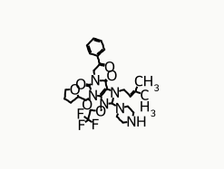 CC(C)=CCN1c2c(n(CC3CCCO3)c(=O)n(CC(=O)c3ccccc3)c2=O)N(OC(=O)C(F)(F)F)C1N1CCNCC1